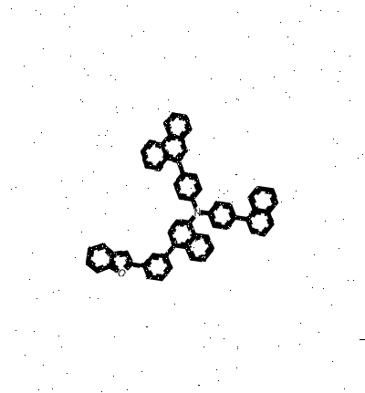 c1cc(-c2cc3ccccc3o2)cc(-c2ccc(N(c3ccc(-c4cccc5ccccc45)cc3)c3ccc(-c4cc5ccccc5c5ccccc45)cc3)c3ccccc23)c1